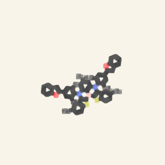 Cc1cc(-c2cc3ccccc3o2)cc(C)c1N1c2cc(C(C)C)cc3c2B(c2sc4ccc(C(C)(C)C)cc4c21)c1sc2ccc(C(C)(C)C)cc2c1N3c1c(C)cc(-c2cc3ccccc3o2)cc1C